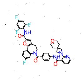 O=C(Nc1c(F)cc(F)cc1F)c1cc2c(o1)-c1ccc(F)cc1N(C(=O)c1ccc(NC(=O)c3cccnc3N3CC4(CCOCC4)C3)cc1)CC2